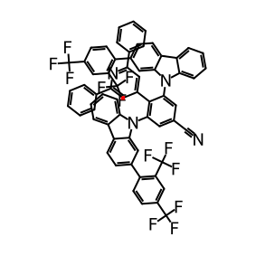 N#Cc1cc(-n2c3ccccc3c3ccc(-c4ccc(C(F)(F)F)cc4C(F)(F)F)cc32)c(-c2cc(-c3ccccc3)nc(-c3ccccc3)c2)c(-n2c3ccccc3c3ccc(-c4ccc(C(F)(F)F)cc4C(F)(F)F)cc32)c1